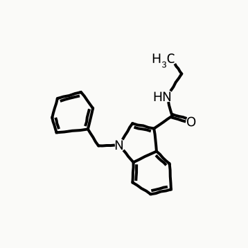 CCNC(=O)c1cn(Cc2ccccc2)c2ccccc12